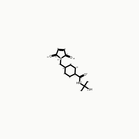 CC(C)(S)NC(=O)C1CCC(CN2C(=O)C=CC2=O)CC1